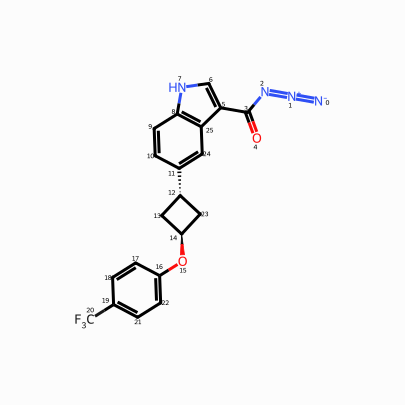 [N-]=[N+]=NC(=O)c1c[nH]c2ccc([C@H]3C[C@H](Oc4ccc(C(F)(F)F)cc4)C3)cc12